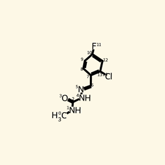 CNC(=O)N/N=C/c1ccc(F)cc1Cl